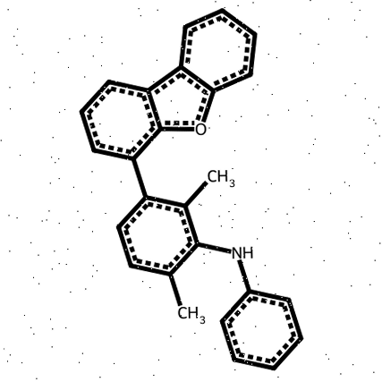 Cc1ccc(-c2cccc3c2oc2ccccc23)c(C)c1Nc1ccccc1